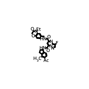 CCN1C(=O)COc2ccc(CNC(=O)c3cc(C(=O)N[C@H]4CCc5c4ccc(C(C)=O)c5C)n4ncc(F)c4n3)cc21